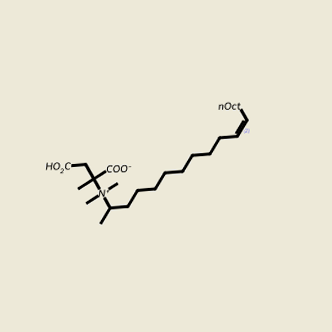 CCCCCCCC/C=C\CCCCCCCCC(C)[N+](C)(C)C(C)(CC(=O)O)C(=O)[O-]